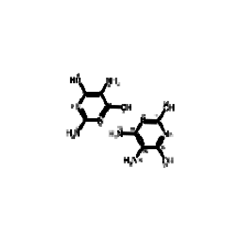 Nc1nc(O)c(N)c(O)n1.Nc1nc(O)nc(O)c1N